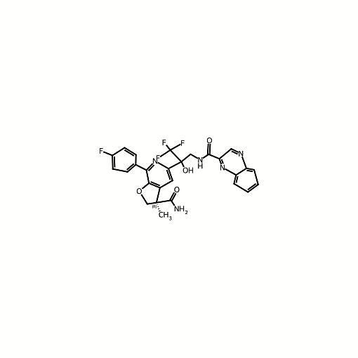 C[C@]1(C(N)=O)COc2c1cc(C(O)(CNC(=O)c1cnc3ccccc3n1)C(F)(F)F)nc2-c1ccc(F)cc1